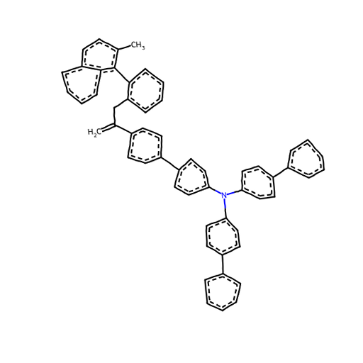 C=C(Cc1ccccc1-c1c(C)ccc2ccccc12)c1ccc(-c2ccc(N(c3ccc(-c4ccccc4)cc3)c3ccc(-c4ccccc4)cc3)cc2)cc1